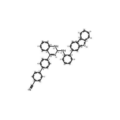 N#Cc1ccc(-c2ccc(C3=NC(Nc4ccccc4-c4ccc5c(c4)sc4ccccc45)Nc4ccccc43)cc2)cc1